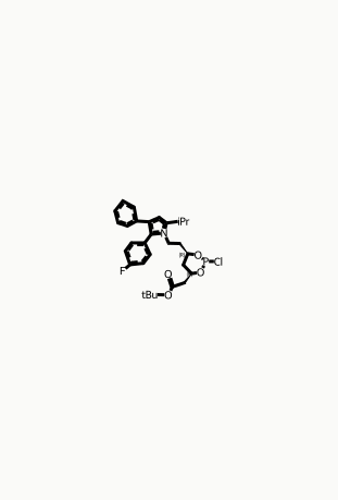 CC(C)c1cc(-c2ccccc2)c(-c2ccc(F)cc2)n1CC[C@@H]1C[C@H](CC(=O)OC(C)(C)C)OP(Cl)O1